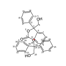 O=C(OC(CO)(c1ccccc1)c1ccccc1)OC(CO)(c1ccccc1)c1ccccc1